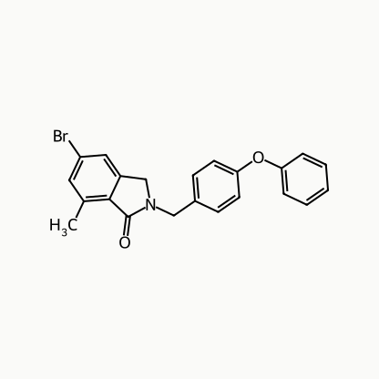 Cc1cc(Br)cc2c1C(=O)N(Cc1ccc(Oc3ccccc3)cc1)C2